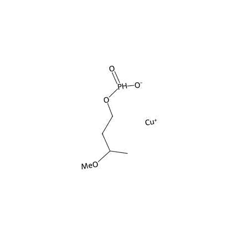 COC(C)CCO[PH](=O)[O-].[Cu+]